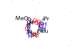 CC[C@H](C)[C@@H]1CCC(=O)OC(C(C)C)C(=O)N[C@@H](CC(C)C)C(=O)N2CCC[C@H]2C(=O)N(C)[C@@H](Cc2ccc(OC)cc2)C(=O)OC[C@H](NC(=O)CCC(C)C)C(=O)N1